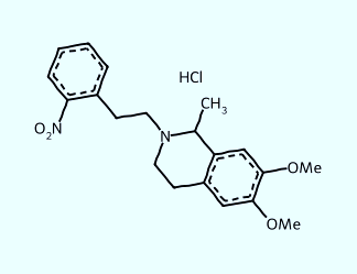 COc1cc2c(cc1OC)C(C)N(CCc1ccccc1[N+](=O)[O-])CC2.Cl